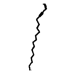 [CH]=CC#CCCCCCCCCCCCCC[CH2]